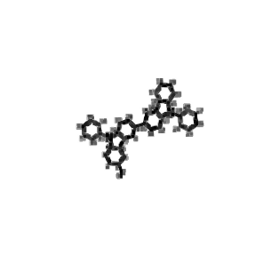 Fc1ccc2c(c1)c1cc(-c3ccc4c(c3)c3ccccc3n4-c3ccccc3)ccc1n2-c1ccccc1